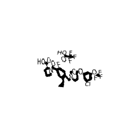 O=C(O)C(F)(F)F.O=C(O)[C@@H]1CCCN1C(=O)c1cc(C2CC2)c(CN2CCC(Oc3cc(Cl)cc(OC(F)(F)F)c3)CC2)cc1F